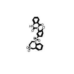 O=c1[nH]c2ccccc2c(=O)n1-c1cc(S(=O)(=O)N2CCS(=O)(=O)Cc3ccccc32)ccc1Cl